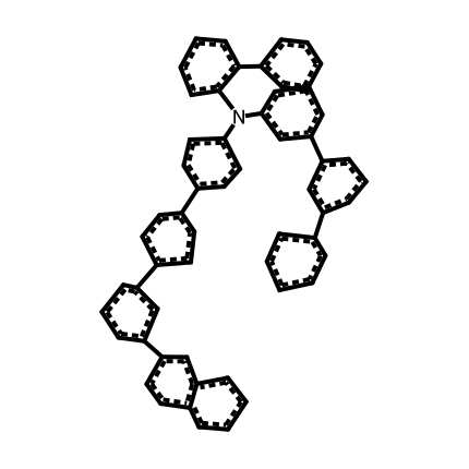 c1ccc(-c2cccc(-c3cccc(N(c4ccc(-c5ccc(-c6cccc(-c7ccc8ccccc8c7)c6)cc5)cc4)c4ccccc4-c4ccccc4)c3)c2)cc1